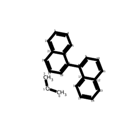 COC.c1ccc2c(-c3cccc4ccccc34)cccc2c1